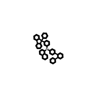 c1ccc(-c2ccccc2-c2ccc(N(c3cccc(C4(c5ccccc5)c5ccccc5-c5ccccc54)c3)c3cccc4ccccc34)cc2)cc1